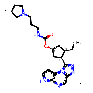 CC[C@@H]1C[C@H](OC(=O)NCCCN2CCCC2)C[C@@H]1c1nnc2cnc3[nH]ccc3n12